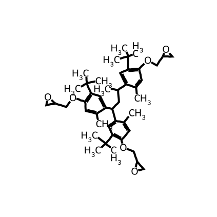 Cc1cc(OCC2CO2)c(C(C)(C)C)cc1C(C)CC(c1cc(C(C)(C)C)c(OCC2CO2)cc1C)c1cc(C(C)(C)C)c(OCC2CO2)cc1C